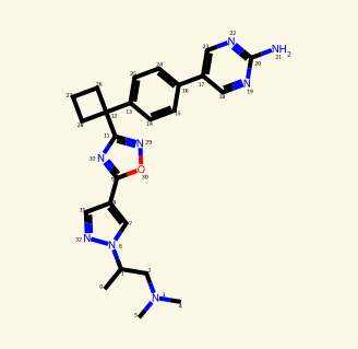 CC(CN(C)C)n1cc(-c2nc(C3(c4ccc(-c5cnc(N)nc5)cc4)CCC3)no2)cn1